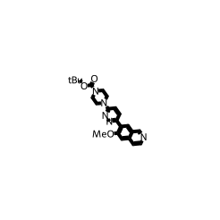 COc1cc2ccncc2cc1-c1ccc(N2CCN(C(=O)OC(C)(C)C)CC2)nn1